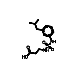 CC(C)Cc1cccc(NS(=O)(=O)NCCC(=O)O)c1